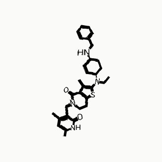 CCN(c1sc2c(c1C)C(=O)N(Cc1c(C)cc(C)[nH]c1=O)CC2)[C@H]1CC[C@H](NCc2ccccc2)CC1